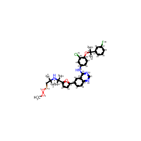 [2H]C([2H])(CSOOC)NC([2H])([2H])c1ccc(-c2ccc3ncnc(Nc4ccc(OC([2H])([2H])c5cccc(F)c5)c(Cl)c4)c3c2)o1